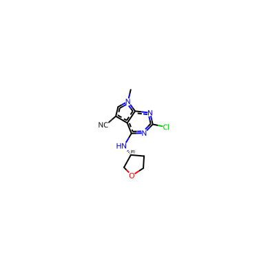 Cn1cc(C#N)c2c(N[C@@H]3CCOC3)nc(Cl)nc21